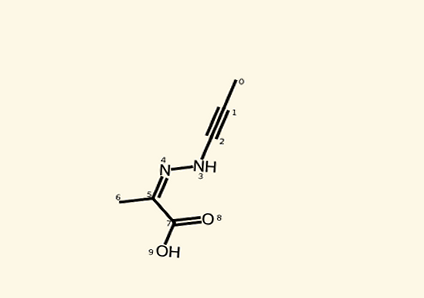 CC#CNN=C(C)C(=O)O